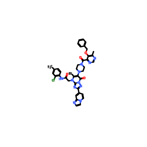 CCc1c(N2CCN(C(=O)c3ncnc(C)c3OCc3ccccc3)CC2)c(=O)n2nc(-c3ccn4ccnc4c3)nc2n1CC(=O)Nc1ccc(C(F)(F)F)cc1Cl